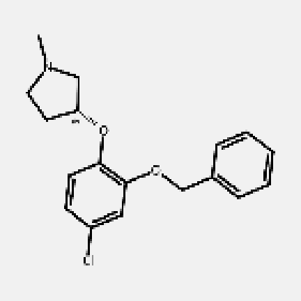 CN1CC[C@@H](Oc2ccc(Cl)cc2OCc2ccccc2)C1